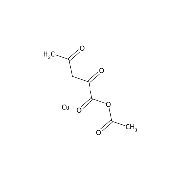 CC(=O)CC(=O)C(=O)OC(C)=O.[Cu]